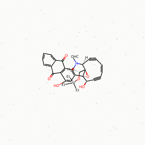 CC[Si](CC)(CC)O[C@H](C)[C@@]12O[C@]13c1cc(O)c4c(c1N(C=O)[C@H]2C#C/C=C\C#C[C@H]3O)C(=O)c1ccccc1C4=O